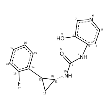 O=C(Nc1ccncc1O)N[C@@H]1CC1c1ccccc1F